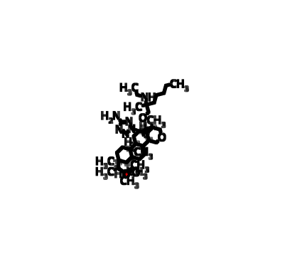 CCCCCC(C)(CO[C@H]1[C@H](n2nnc(N)n2)C[C@@]23COC[C@]1(C)[C@@H]2CC[C@H]1C3=CC[C@@]2(C)[C@H](C(=O)O)[C@@](C)([C@H](C)C(C)C)CC[C@]12C)NCC